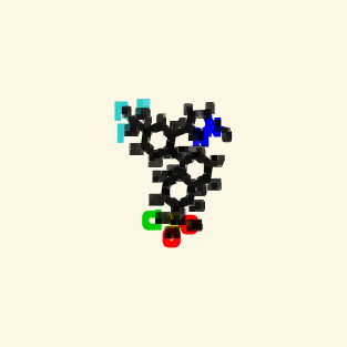 Cn1ccc(-c2cc(C(F)(F)F)ccc2-c2cccc3cc(S(=O)(=O)Cl)ccc23)n1